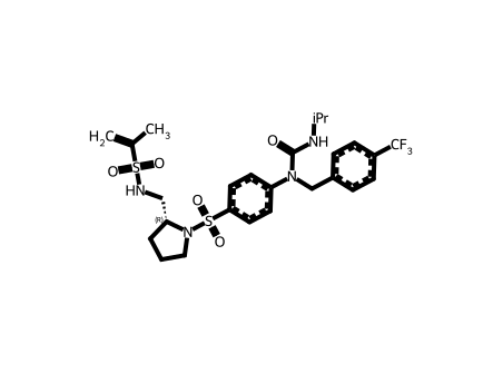 C=C(C)S(=O)(=O)NC[C@H]1CCCN1S(=O)(=O)c1ccc(N(Cc2ccc(C(F)(F)F)cc2)C(=O)NC(C)C)cc1